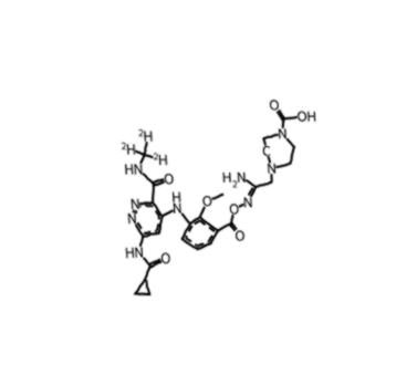 [2H]C([2H])([2H])NC(=O)c1nnc(NC(=O)C2CC2)cc1Nc1cccc(C(=O)ON=C(N)CN2CCN(C(=O)O)CC2)c1OC